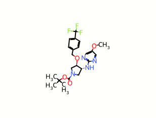 COc1cnc(N[C@@H]2CN(C(=O)OC(C)(C)C)C[C@H]2OCc2ccc(C(F)(F)F)cc2)nc1